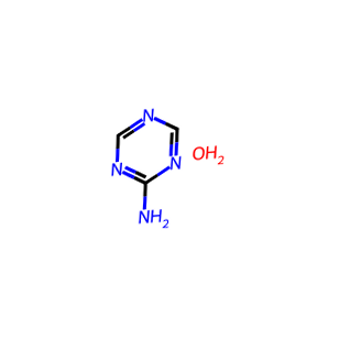 Nc1ncncn1.O